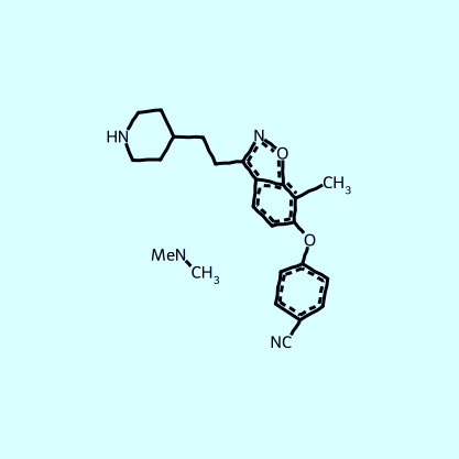 CNC.Cc1c(Oc2ccc(C#N)cc2)ccc2c(CCC3CCNCC3)noc12